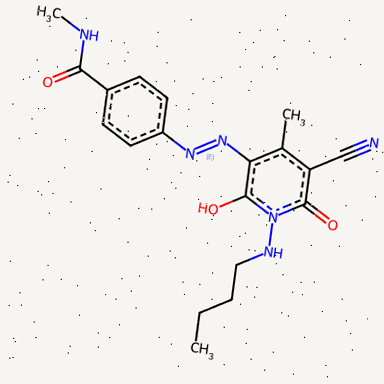 CCCCNn1c(O)c(/N=N/c2ccc(C(=O)NC)cc2)c(C)c(C#N)c1=O